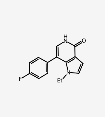 CCn1ccc2c(=O)[nH]cc(-c3ccc(F)cc3)c21